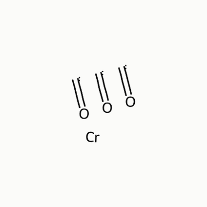 [C]=O.[C]=O.[C]=O.[Cr]